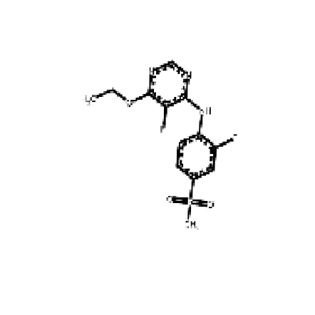 CCOc1ncnc(Nc2ccc(S(C)(=O)=O)cc2F)c1F